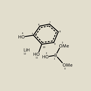 COB(O)OC.Oc1ccccc1O.[LiH]